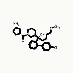 COCCCC[C@@](O)(c1ccccc1-c1ccc(Cl)cc1)C1CCCN(C(=O)[C@@H]2CC[C@H](N)C2)C1